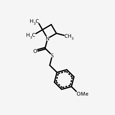 COc1ccc(CSC(=O)N2C(C)CC2(C)C)cc1